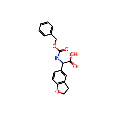 O=C(NC(C(=O)O)c1ccc2c(c1)CCO2)OCc1ccccc1